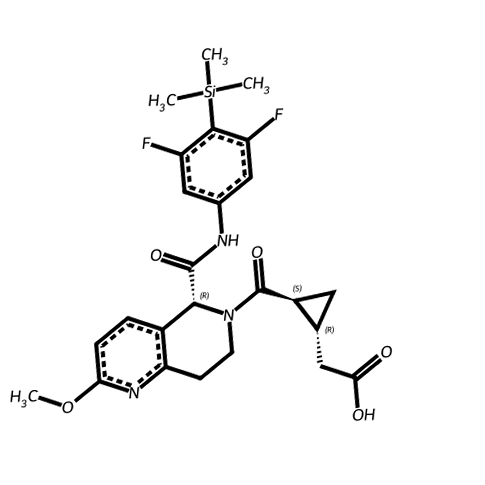 COc1ccc2c(n1)CCN(C(=O)[C@H]1C[C@@H]1CC(=O)O)[C@H]2C(=O)Nc1cc(F)c([Si](C)(C)C)c(F)c1